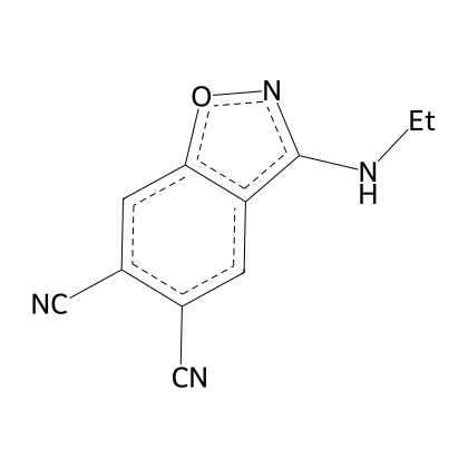 CCNc1noc2cc(C#N)c(C#N)cc12